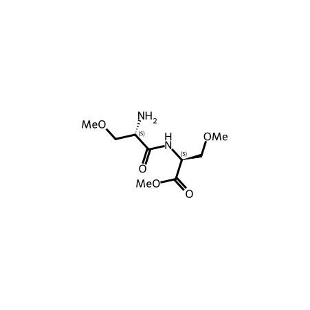 COC[C@H](NC(=O)[C@@H](N)COC)C(=O)OC